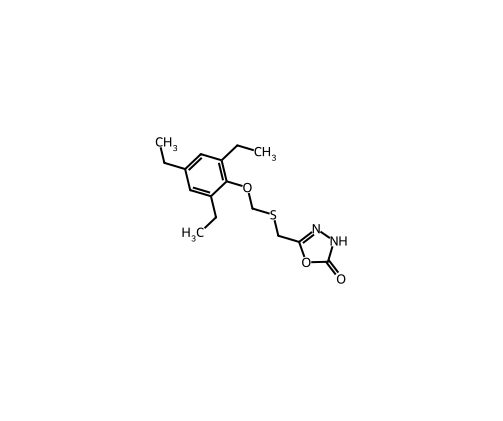 CCc1cc(CC)c(OCSCc2n[nH]c(=O)o2)c(CC)c1